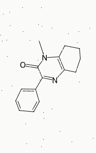 Cn1c2c(nc(-c3ccccc3)c1=O)CCCC2